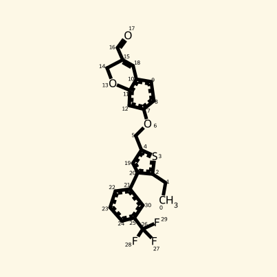 CCc1sc(COc2ccc3c(c2)OCC(C=O)=C3)cc1-c1cccc(C(F)(F)F)c1